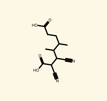 CC(CCC(=O)O)C(C)C(C#N)C(C#N)C(=O)O